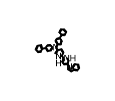 C1=CC(C2=CC=C(n3ccc4ccccc43)CN2)NC=C1N(c1ccc(-c2ccccc2)cc1)c1ccc(-c2ccccc2)cc1